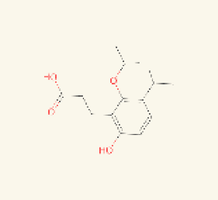 CC(C)Oc1c(C(C)C)ccc(O)c1CCC(=O)O